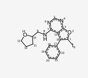 Ic1oc2ncnc(NCC3CCCO3)c2c1-c1ccccc1